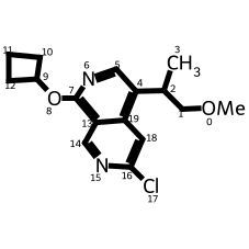 COCC(C)c1cnc(OC2CCC2)c2cnc(Cl)cc12